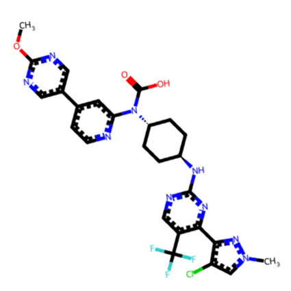 COc1ncc(-c2ccnc(N(C(=O)O)[C@H]3CC[C@H](Nc4ncc(C(F)(F)F)c(-c5nn(C)cc5Cl)n4)CC3)c2)cn1